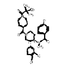 CN(C(=O)c1ccc(Cl)cc1)[C@@H]1CCN(C(=O)C2CCN(C(=O)C(C)(C)O)CC2)C[C@H]1c1ccc(Cl)c(Cl)c1